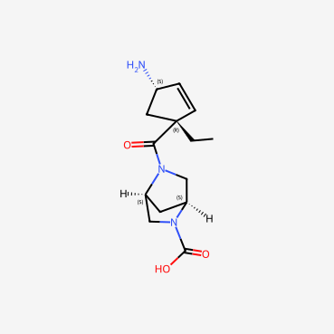 CC[C@]1(C(=O)N2C[C@@H]3C[C@H]2CN3C(=O)O)C=C[C@@H](N)C1